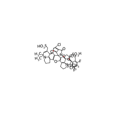 CC1(C)C=C(CS(=O)(=O)O)c2cc3c(c4c2N1CCC4)Oc1c(cc2c4c1CCCN4C(C)(C)C=C2CS(=O)(=O)O)C31c2c(Cl)ccc(Cl)c2C(=O)N1OCC(=O)Oc1c(F)c(F)cc(F)c1F